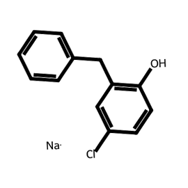 Oc1ccc(Cl)cc1Cc1ccccc1.[Na]